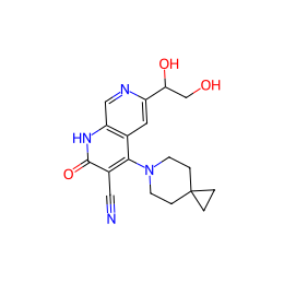 N#Cc1c(N2CCC3(CC2)CC3)c2cc(C(O)CO)ncc2[nH]c1=O